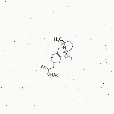 CC(=O)NC(Cc1ccc(CN2[C@H](C)CCC[C@@H]2C)cc1)C(C)=O